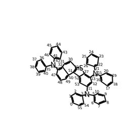 c1ccc(N(c2ccccc2)c2cc(N(c3ccccc3)c3ccccc3)c3sc4ccc5c(N(c6ccccc6)c6ccccc6)cccc5c4c3c2)cc1